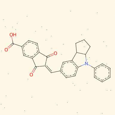 O=C(O)c1ccc2c(c1)C(=O)C(=Cc1ccc3c(c1)C1CCCC1N3c1ccccc1)C2=O